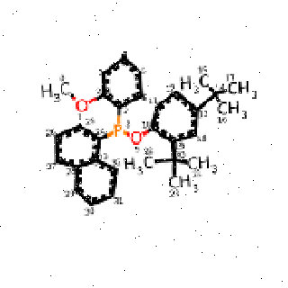 COc1ccccc1P(Oc1ccc(C(C)(C)C)cc1C(C)(C)C)c1cccc2ccccc12